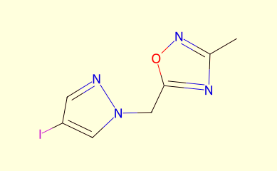 Cc1noc(Cn2cc(I)cn2)n1